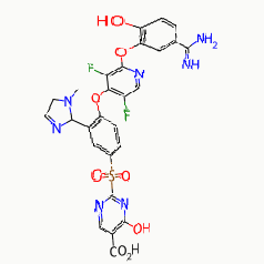 CN1CC=NC1c1cc(S(=O)(=O)c2ncc(C(=O)O)c(O)n2)ccc1Oc1c(F)cnc(Oc2cc(C(=N)N)ccc2O)c1F